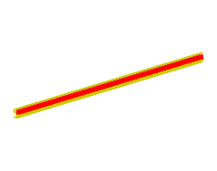 S=S=S=S=S=S=S=S=S=S=S=S=S=S=S=S=S=S=S=S=S=S=S=S=S=S=S=S=S=S=S=S=S=S=S=S=S=S=S=S=S=S=S=S=S=S=S=S=S=S=S=S=S=S=S=S=S=S=S=S=S=S=S=S=S=S=S=S=S=S=S=S=S=S=S=S=S=S=S=S=S=S=S=S=S=S=S=S=S=S=S=S=S=S=S=S=S=S=S=S=S=S=S=S=S=S=S=S=S=S=S=S=S=S=S=S=S=S=S=S=S=S=S=S=S=S=S=S=S=S=S